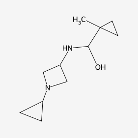 CC1(C(O)NC2CN(C3CC3)C2)CC1